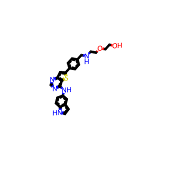 OCCOCCNCc1ccc(-c2cc3ncnc(Nc4ccc5[nH]ccc5c4)c3s2)cc1